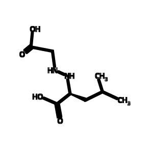 CC(C)C[C@H](NNCC(=O)O)C(=O)O